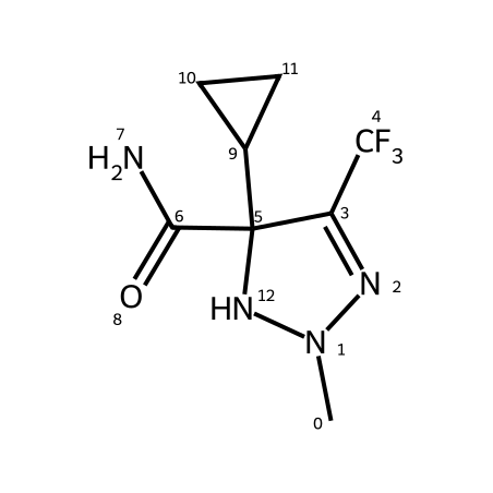 CN1N=C(C(F)(F)F)C(C(N)=O)(C2CC2)N1